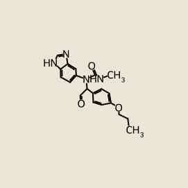 CCCOc1ccc(C(C=O)N(C(=O)NC)c2ccc3[nH]cnc3c2)cc1